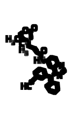 C#Cc1cccc(N(c2ccccc2)c2ncnc3ccc(NC(=O)C=CCN4CC(=O)OCC4(C)C)cc23)c1